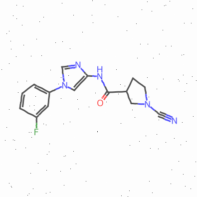 N#CN1CCC(C(=O)Nc2cn(-c3cccc(F)c3)cn2)C1